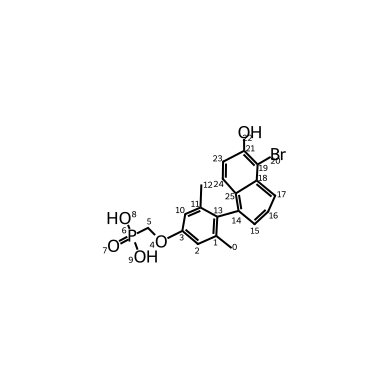 Cc1cc(OCP(=O)(O)O)cc(C)c1-c1cccc2c(Br)c(O)ccc12